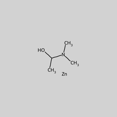 CC(O)N(C)C.[Zn]